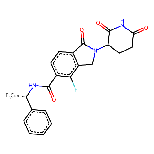 O=C1CCC(N2Cc3c(ccc(C(=O)N[C@H](c4ccccc4)C(F)(F)F)c3F)C2=O)C(=O)N1